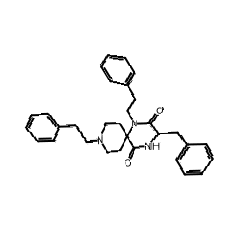 O=C1C(Cc2ccccc2)NC(=O)C2(CCN(CCc3ccccc3)CC2)N1CCc1ccccc1